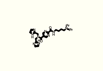 CC(C)N(CCCCNC(=O)c1ncc(C(=O)N(Cc2ncc[nH]2)Cc2ncc[nH]2)cn1)C(C)C